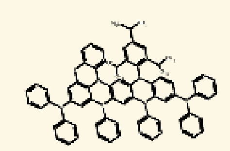 CC(C)c1cc(C(C)C)c(B2c3ccc(N(c4ccccc4)c4ccccc4)cc3N(c3ccccc3)c3cc4c(cc32)B2c3ccccc3Sc3cc(N(c5ccccc5)c5ccccc5)cc(c32)N4c2ccccc2)c(C(C)C)c1